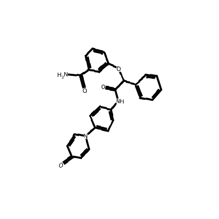 NC(=O)c1cccc(OC(C(=O)Nc2ccc(-n3ccc(=O)cc3)cc2)c2ccccc2)c1